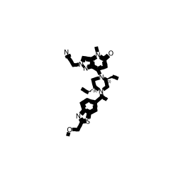 CC[C@H]1CN(C(C)c2ccc3nc(COC)sc3c2)[C@H](CC)CN1c1cc(=O)n(C)c2cn(CC#N)nc12